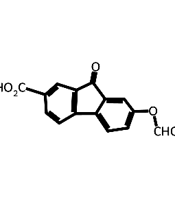 O=COc1ccc2c(c1)C(=O)c1cc(C(=O)O)ccc1-2